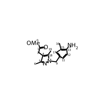 COC(=O)Cc1c(C)nn(Cc2ccc(N)c(C)c2)c1C